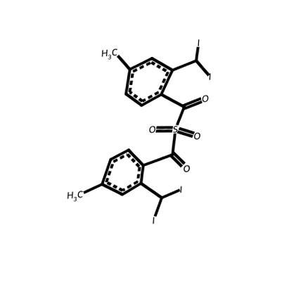 Cc1ccc(C(=O)S(=O)(=O)C(=O)c2ccc(C)cc2C(I)I)c(C(I)I)c1